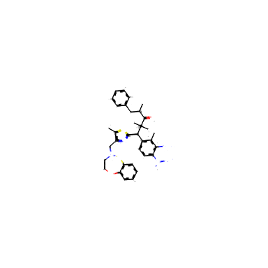 CCN(N)c1ccc(C(c2nc(CN3CCOc4ccccc4S3)c(C)s2)C(C)(C)C(=O)C(C)Cc2ccccc2)c(C)c1N